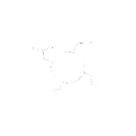 O=C(O)CN1CCN(CC(O)O)CCN(CC(=O)O)CCN(CC(O)O)CC1